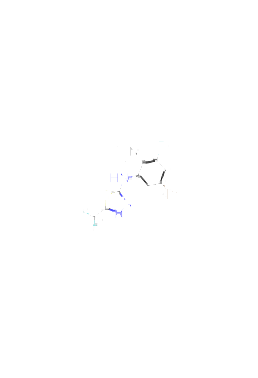 O=[N+]([O-])c1c(F)cc(Br)cc1Nc1nnc(C(F)F)s1